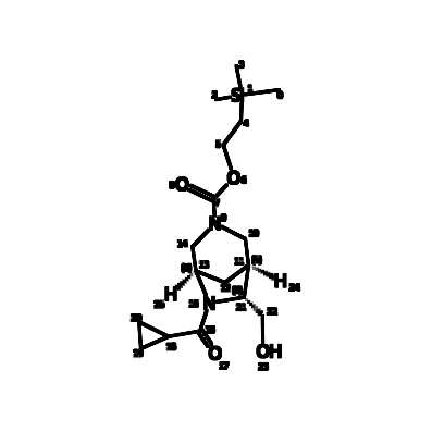 C[Si](C)(C)CCOC(=O)N1C[C@@H]2C[C@H](C1)N(C(=O)C1CC1)[C@H]2CO